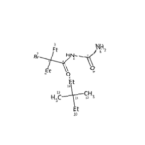 CCC(Br)(CC)C(=O)NC(N)=O.CCC(C)(C)CC